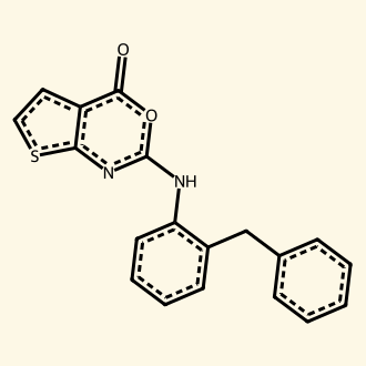 O=c1oc(Nc2ccccc2Cc2ccccc2)nc2sccc12